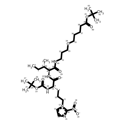 CC[C@H](C)[C@H](NC(=O)[C@H](CCCn1ccnc1[N+](=O)[O-])NC(=O)OC(C)(C)C)C(=O)NCCCOCCCCC(=O)OC(C)(C)C